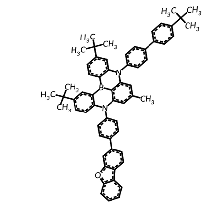 Cc1cc2c3c(c1)N(c1ccc(-c4ccc(C(C)(C)C)cc4)cc1)c1cc(C(C)(C)C)ccc1B3c1cc(C(C)(C)C)ccc1N2c1ccc(-c2ccc3c(c2)oc2ccccc23)cc1